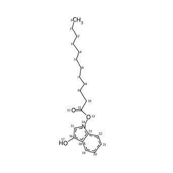 CCCCCCCCCCCC(=O)On1cc(O)c2ccccc21